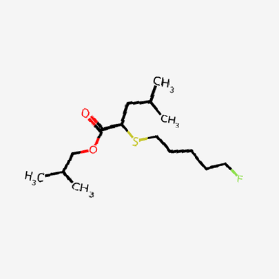 CC(C)COC(=O)C(CC(C)C)SCCCCCF